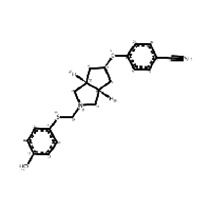 N#Cc1ccc(O[C@H]2C[C@@H]3CN(CSc4ccc(O)cc4)C[C@@H]3C2)cc1